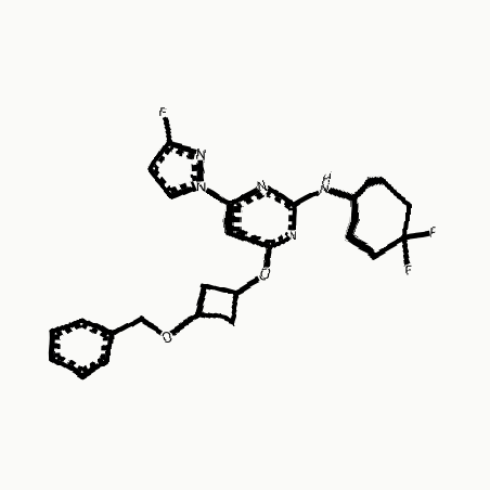 Fc1ccn(-c2cc(OC3CC(OCc4ccccc4)C3)nc(NC3CCC(F)(F)CC3)n2)n1